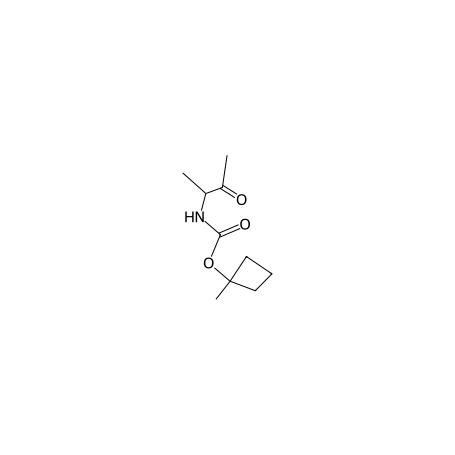 CC(=O)C(C)NC(=O)OC1(C)CCC1